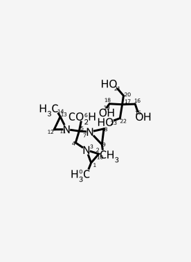 CC1CN1CC(C(=O)O)(N1CC1C)N1CC1C.OCC(CO)(CO)CO